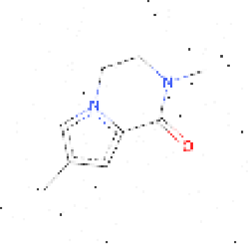 Cc1cc2n(c1)CCN(C)C2=O